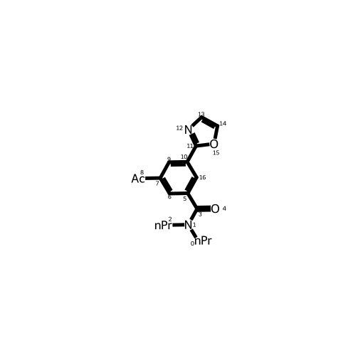 CCCN(CCC)C(=O)c1cc(C(C)=O)cc(-c2ncco2)c1